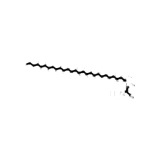 CCCCCCCCCCCCCCCCCCCCCCCCCCC(=O)OC(=O)[C@@H](N)CO